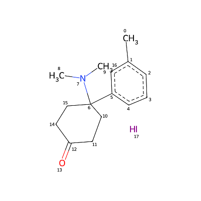 Cc1cccc(C2(N(C)C)CCC(=O)CC2)c1.I